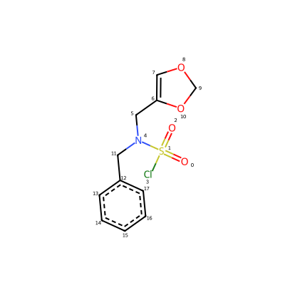 O=S(=O)(Cl)N(CC1=COCO1)Cc1ccccc1